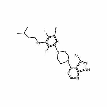 CC(C)CCNc1c(F)c(F)nc(N2CCN(c3ncnc4[nH]nc(Br)c34)CC2)c1F